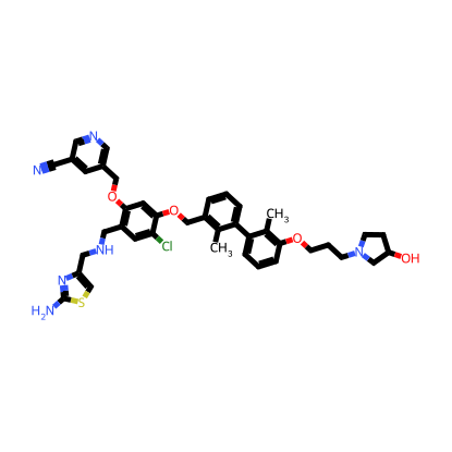 Cc1c(COc2cc(OCc3cncc(C#N)c3)c(CNCc3csc(N)n3)cc2Cl)cccc1-c1cccc(OCCCN2CCC(O)C2)c1C